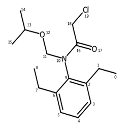 CCc1cccc(CC)c1N(COC(C)C)C(=O)CCl